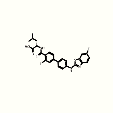 CC(C)C[C@H](NC(=O)c1ccc(-c2ccc(Nc3nc4ccc(F)cc4s3)cc2)cc1F)C(=O)O